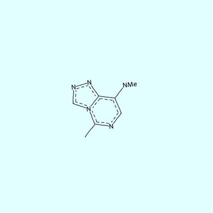 CNc1cnc(C)n2cnnc12